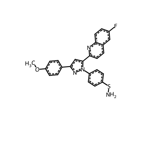 COc1ccc(-c2cc(-c3ccc4cc(F)ccc4n3)n(-c3ccc(SN)cc3)n2)cc1